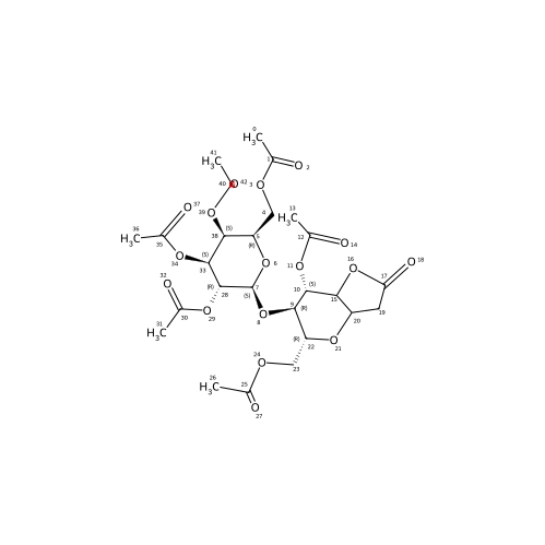 CC(=O)OC[C@H]1O[C@@H](O[C@H]2[C@H](OC(C)=O)C3OC(=O)CC3O[C@@H]2COC(C)=O)[C@H](OC(C)=O)[C@@H](OC(C)=O)[C@H]1OC(C)=O